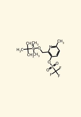 Cc1ccc(OS(=O)(=O)C(F)(F)F)c(CO[Si](C)(C)C(C)(C)C)n1